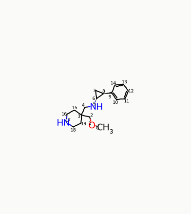 COCC1(CN[C@@H]2C[C@H]2c2ccccc2)CCNCC1